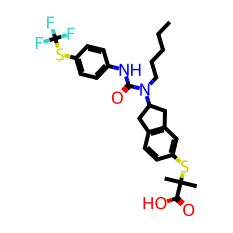 CCCCCN(C(=O)Nc1ccc(SC(F)(F)F)cc1)C1Cc2ccc(SC(C)(C)C(=O)O)cc2C1